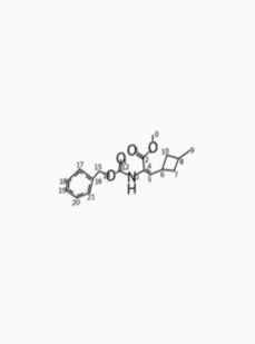 COC(=O)C(=CC1CC(C)C1)NC(=O)OCc1ccccc1